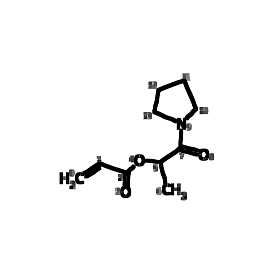 C=CC(=O)OC(C)C(=O)N1CCCC1